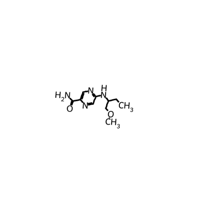 CCC(COC)Nc1cnc(C(N)=O)cn1